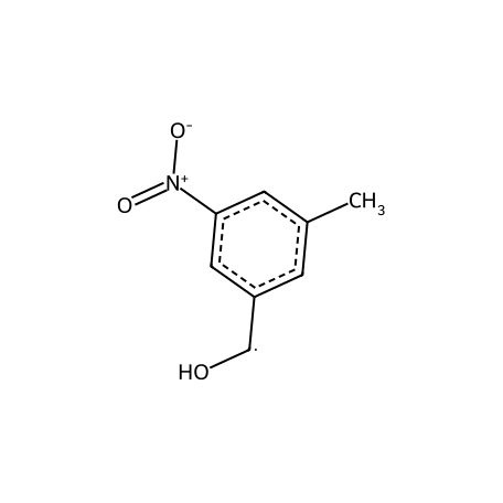 Cc1cc([CH]O)cc([N+](=O)[O-])c1